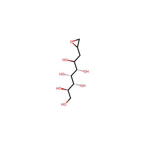 OC[C@@H](O)[C@@H](O)[C@H](O)[C@@H](O)C(O)CC1CO1